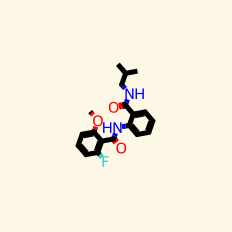 COc1cccc(F)c1C(=O)Nc1ccccc1C(=O)NCC(C)C